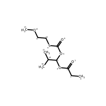 CCC(=O)OC(OC(=O)SCCOC)C(C)C